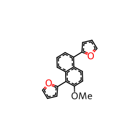 COc1ccc2c(-c3ccco3)cccc2c1-c1ccco1